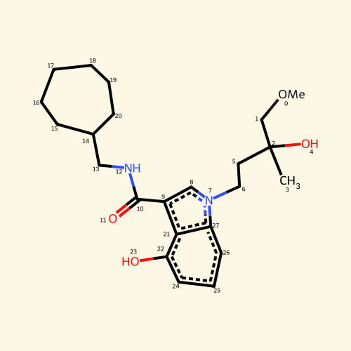 COCC(C)(O)CCn1cc(C(=O)NCC2CCCCCC2)c2c(O)cccc21